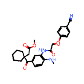 CNc1ccc(C(=O)C2(CC(=O)OC)CCCCC2)cc1NC(=O)COc1ccc(C#N)cc1